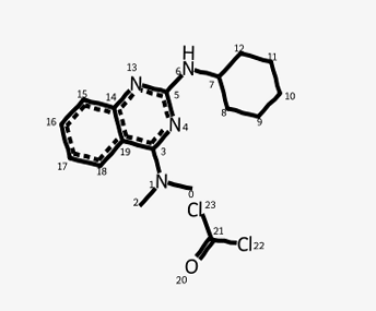 CN(C)c1nc(NC2CCCCC2)nc2ccccc12.O=C(Cl)Cl